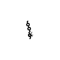 CCc1ccc(CCC2CCC(C3CCC(CC)CC3)CC2)c(F)c1F